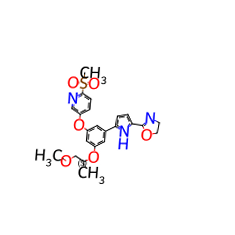 COC[C@H](C)Oc1cc(Oc2ccc(S(C)(=O)=O)nc2)cc(-c2ccc(C3=NCCO3)[nH]2)c1